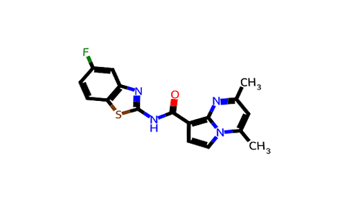 Cc1cc(C)n2ccc(C(=O)Nc3nc4cc(F)ccc4s3)c2n1